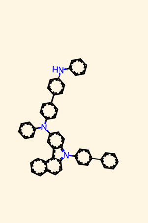 c1ccc(Nc2ccc(-c3ccc(N(c4ccccc4)c4ccc5c(c4)c4c6ccccc6ccc4n5-c4ccc(-c5ccccc5)cc4)cc3)cc2)cc1